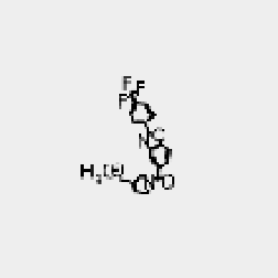 COCC1CCN(C(=O)c2ccc3oc(-c4ccc(C(F)(F)F)cc4)nc3c2)C1